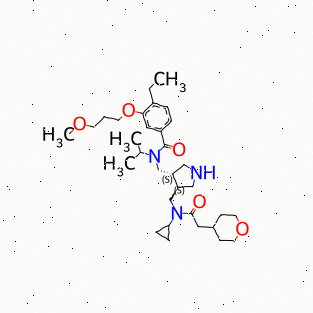 CCc1ccc(C(=O)N(C[C@@H]2CNC[C@H]2CN(C(=O)CC2CCOCC2)C2CC2)C(C)C)cc1OCCCOC